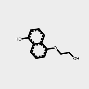 OCCOc1cccc2c(O)cccc12